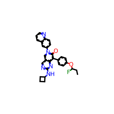 CCC(F)Oc1ccc(-c2c(=O)n(-c3ccc4ncccc4c3)cc3cnc(NC4CCC4)nc23)cc1